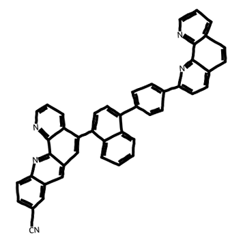 N#Cc1ccc2nc3c(cc(-c4ccc(-c5ccc(-c6ccc7ccc8cccnc8c7n6)cc5)c5ccccc45)c4cccnc43)cc2c1